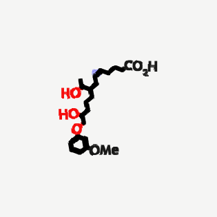 COc1cccc(OCC(O)CCCC(C/C=C\CCCC(=O)O)C(C)O)c1